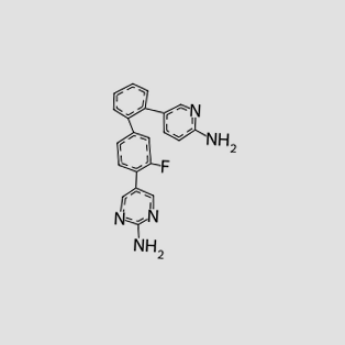 Nc1ccc(-c2ccccc2-c2ccc(-c3cnc(N)nc3)c(F)c2)cn1